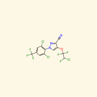 N#Cc1nn(-c2c(Cl)cc(C(F)(F)F)cc2Cl)cc1OC(F)(F)C(F)Cl